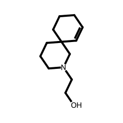 OCCN1CCCC2(C=CCCC2)C1